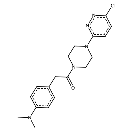 CN(C)c1ccc(CC(=O)N2CCN(c3ccc(Cl)nn3)CC2)cc1